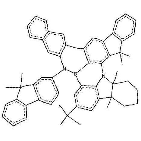 CC(C)(C)c1cc2c3c(c1)C1(C)CCCCC1(C)N3c1c3c(cc4c1C(C)(C)c1ccccc1-4)-c1cc4ccccc4cc1N(c1ccc4c(c1)C(C)(C)c1ccccc1-4)B23